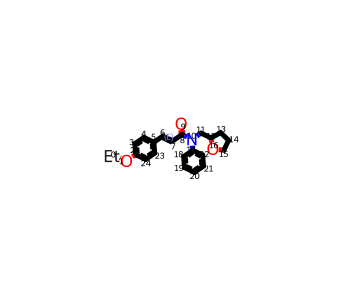 CCOc1ccc(/C=C/C(=O)N(CC2CCCO2)c2ccccc2)cc1